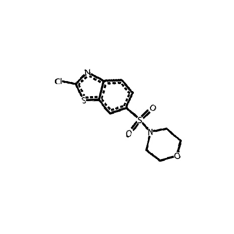 O=S(=O)(c1ccc2nc(Cl)sc2c1)N1CCOCC1